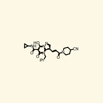 CC(C)Cn1c(=O)c(C(=O)NC2CC2)c(O)n2ncc(C=CC(=O)N3CCC(C#N)CC3)c12